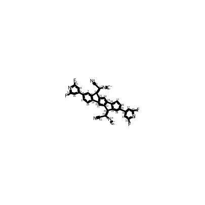 [C-]#[N+]/C(C#N)=C1/c2cc(-c3cc(F)nc(F)c3)ccc2-c2cc3c(cc21)-c1ccc(-c2cc(F)nc(F)c2)cc1/C3=C(/C#N)[N+]#[C-]